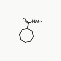 [CH2]NC(=O)C1CCCCCCC1